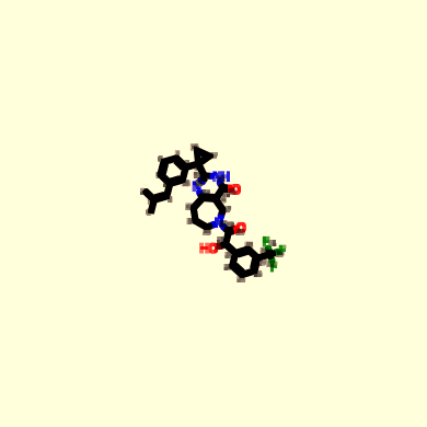 CC(C)=Cc1cccc(C2(c3nc4c(c(=O)[nH]3)CN(C(=O)C(O)c3cccc(C(F)(F)F)c3)CCC4)CC2)c1